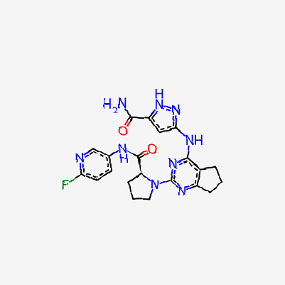 NC(=O)c1cc(Nc2nc(N3CCC[C@H]3C(=O)Nc3ccc(F)nc3)nc3c2CCC3)n[nH]1